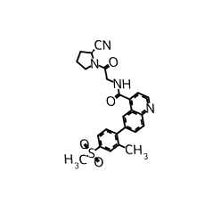 Cc1cc(S(C)(=O)=O)ccc1-c1ccc2nccc(C(=O)NCC(=O)N3CCC[C@H]3C#N)c2c1